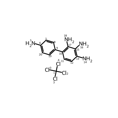 ClC(Cl)(Cl)Cl.Nc1ccc(-c2ccc(N)c(N)c2N)cc1